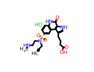 C#CCN(CCNC)S(=O)(=O)c1ccc2[nH]c(=O)c3[nH]cc(CCCC(=O)O)c3c2c1.Cl